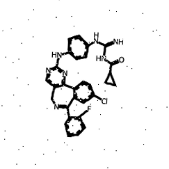 N=C(NC(=O)C1CC1)Nc1ccc(Nc2ncc3c(n2)-c2ccc(Cl)cc2C(c2ccccc2F)=NC3)cc1